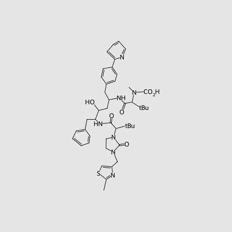 Cc1nc(CN2CCN(C(C(=O)NC(Cc3ccccc3)C(O)CC(Cc3ccc(-c4ccccn4)cc3)NC(=O)C(N(C)C(=O)O)C(C)(C)C)C(C)(C)C)C2=O)cs1